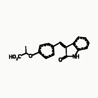 CC(Oc1ccc(C=C2C(=O)Nc3ccccc32)cc1)C(=O)O